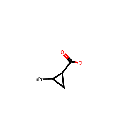 CCCC1CC1C([O])=O